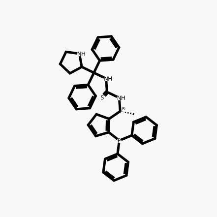 C[C@@H](NC(=S)NC(c1ccccc1)(c1ccccc1)C1CCCN1)C1=C(P(c2ccccc2)c2ccccc2)C=CC1